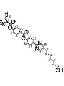 CCCCCCCCc1cnc(-c2ccc(OC(=O)c3ccc(OC(=O)[C@H](C)OC)cc3)cc2)nc1